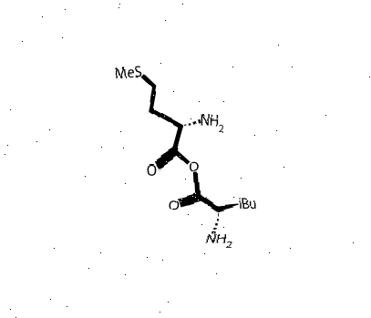 CC[C@H](C)[C@H](N)C(=O)OC(=O)[C@@H](N)CCSC